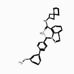 COc1cccc(-c2ccc([C@H](C)n3ncc4cccc(C(=O)NC5CC6(CCC6)C5)c43)cc2)c1